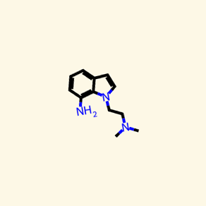 CN(C)CCn1ccc2cccc(N)c21